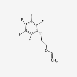 C=COCCOc1c(F)c(F)c(F)c(F)c1F